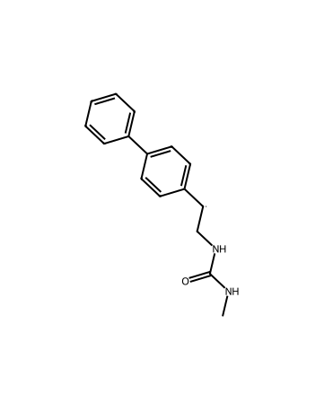 CNC(=O)NC[CH]c1ccc(-c2ccccc2)cc1